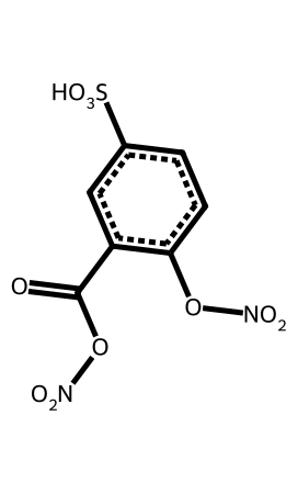 O=C(O[N+](=O)[O-])c1cc(S(=O)(=O)O)ccc1O[N+](=O)[O-]